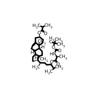 CC(C)C(=O)O[C@H]1CC[C@@]2(C)C(=CC[C@H]3[C@@H]4CC[C@H]([C@H](C)CCC(OC(=O)[C@H](C)NC(=O)OC(C)(C)C)C(C)C)[C@@]4(C)CC[C@@H]32)C1